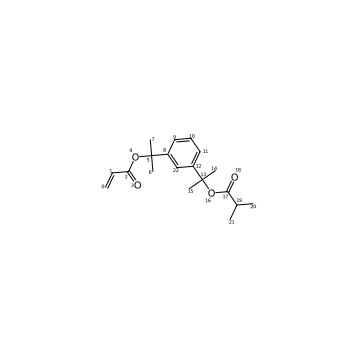 C=CC(=O)OC(C)(C)c1cccc(C(C)(C)OC(=O)C(C)C)c1